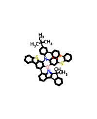 CC(C)(C)c1ccc(N2c3cc4c(cc3B3c5c(cc6c(sc7ccccc76)c52)-c2cccc5c6c(n3c25)C(C)(C)c2ccccc2-6)Sc2ccccc2S4)c(-c2ccccc2)c1